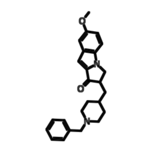 COc1ccc2c(c1)cc1n2CC(CC2CCN(Cc3ccccc3)CC2)C1=O